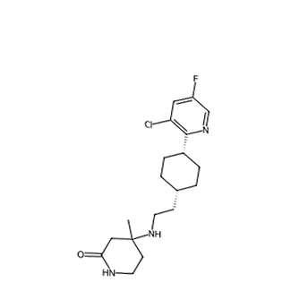 CC1(NCC[C@H]2CC[C@@H](c3ncc(F)cc3Cl)CC2)CCNC(=O)C1